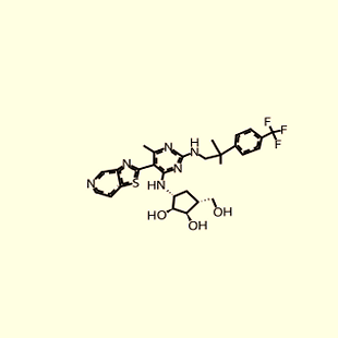 Cc1nc(NCC(C)(C)c2ccc(C(F)(F)F)cc2)nc(N[C@@H]2C[C@H](CO)[C@@H](O)[C@H]2O)c1-c1nc2cnccc2s1